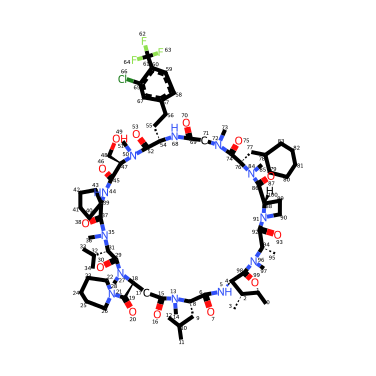 CC[C@H](C)[C@@H]1NC(=O)[C@H](CC(C)C)N(C)C(=O)C[C@@H](C(=O)N2CCCCC2)N(C)C(=O)[C@H](C(C)C)N(C)C(=O)C2(CCCC2)NC(=O)[C@@H](CO)N(C)C(=O)[C@H](CCc2ccc(C(F)(F)F)c(Cl)c2)NC(=O)CN(C)C(=O)[C@H](CC2CCCCC2)N(C)C(=O)[C@@H]2CCN2C(=O)[C@H](C)N(C)C1=O